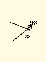 CCCCCCCCCCCCCCCCCCN(CCCCCCCCCCCCCCCCCC)C(=O)c1cccc(S(=O)(=O)Nc2cc(O)c3nc(C)oc3c2)c1.c1ccc2ocnc2c1